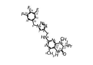 Cc1nc(NCc2cn(Cc3cc(F)c(F)c(F)c3)nn2)nc2c1NC(=O)[C@H](C(C)C)N2C